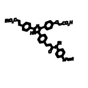 CCCCCc1ccc(N(CC)C(=O)C=Cc2ccc(-c3[nH]c(-c4ccc(C=CC(=O)OCC)cc4)nc3-c3ccc(OCC(=O)O)cc3)cc2)cc1